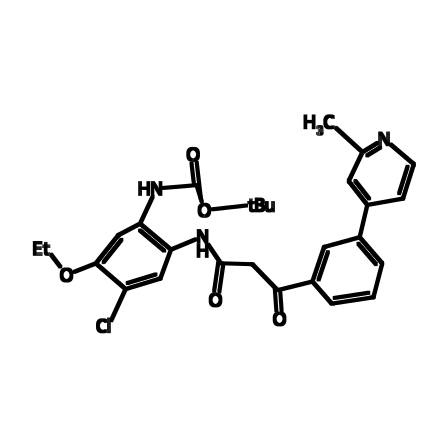 CCOc1cc(NC(=O)OC(C)(C)C)c(NC(=O)CC(=O)c2cccc(-c3ccnc(C)c3)c2)cc1Cl